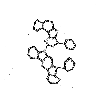 c1ccc(-c2nc(-n3c4ccccc4c4cc5c6ccccc6n(-c6ccccc6)c5cc43)nc3c2oc2ccc4ccccc4c23)cc1